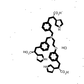 Cl.O=C(O)[C@@H](Cc1cccc(CN(CCOc2cccc(C[C@H](C(=O)O)[C@H]3CCNC3)c2)Cc2cccc(C[C@H](C(=O)O)[C@H]3CCNC3)c2)c1)[C@H]1CCNC1